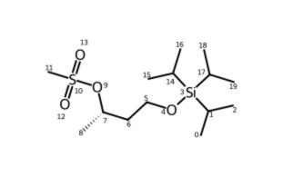 CC(C)[Si](OCC[C@H](C)OS(C)(=O)=O)(C(C)C)C(C)C